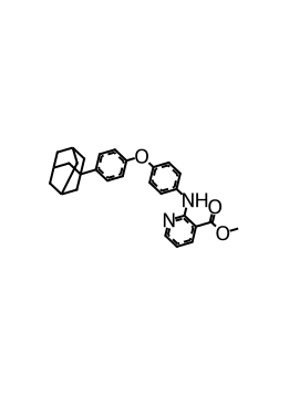 COC(=O)c1cccnc1Nc1ccc(Oc2ccc(C34CC5CC(CC(C5)C3)C4)cc2)cc1